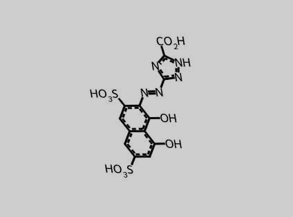 O=C(O)c1nc(N=Nc2c(S(=O)(=O)O)cc3cc(S(=O)(=O)O)cc(O)c3c2O)n[nH]1